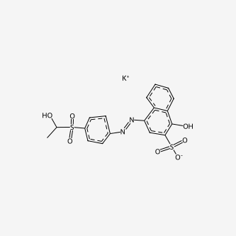 CC(O)S(=O)(=O)c1ccc(/N=N/c2cc(S(=O)(=O)[O-])c(O)c3ccccc23)cc1.[K+]